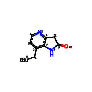 CC(C)(C)Cc1ccnc2c1NC(=O)C2